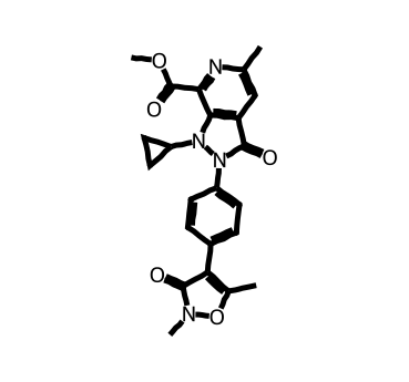 COC(=O)c1nc(C)cc2c(=O)n(-c3ccc(-c4c(C)on(C)c4=O)cc3)n(C3CC3)c12